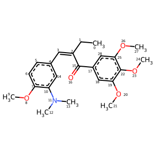 CCC(=Cc1ccc(OC)c(N(C)C)c1)C(=O)c1cc(OC)c(OC)c(OC)c1